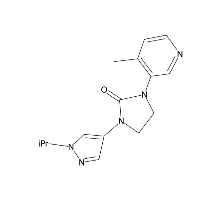 Cc1ccncc1N1CCN(c2cnn(C(C)C)c2)C1=O